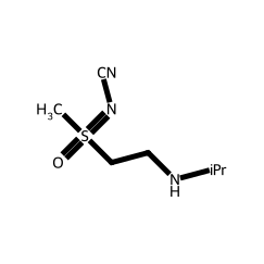 CC(C)NCCS(C)(=O)=NC#N